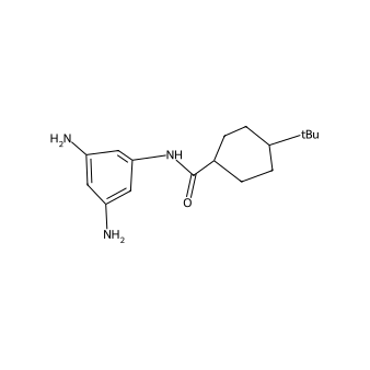 CC(C)(C)C1CCC(C(=O)Nc2cc(N)cc(N)c2)CC1